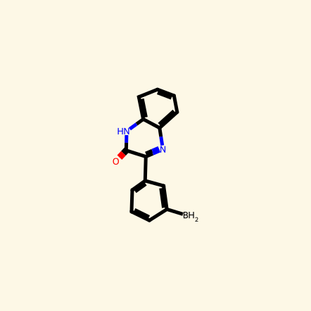 Bc1cccc(-c2nc3ccccc3[nH]c2=O)c1